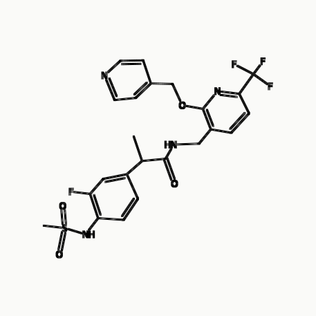 CC(C(=O)NCc1ccc(C(F)(F)F)nc1OCc1ccncc1)c1ccc(NS(C)(=O)=O)c(F)c1